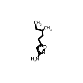 CCC(C)CCc1cc(N)no1